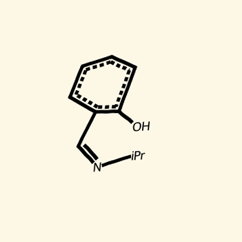 CC(C)/N=C\c1ccccc1O